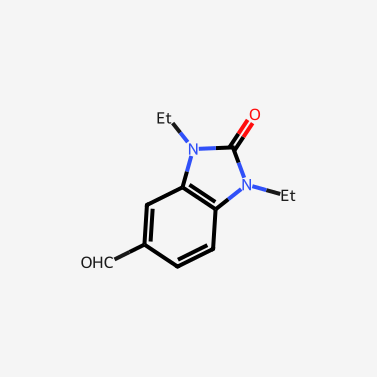 CCn1c(=O)n(CC)c2cc(C=O)ccc21